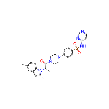 Cc1ccc2c(c1)cc(C)n2C(C)C(=O)N1CCN(c2ccc(S(=O)(=O)Nc3ccncn3)cc2)CC1